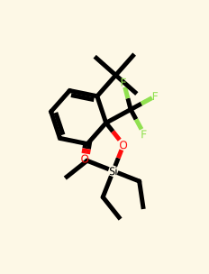 CC[Si](CC)(CC)OC1(C(F)(F)F)C(=O)C=CC=C1C(C)(C)C